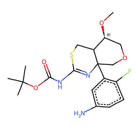 CO[C@H]1COCC2(c3cc(N)ccc3F)N=C(NC(=O)OC(C)(C)C)SCC12